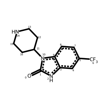 O=c1[nH]c2cc(C(F)(F)F)ccc2n1C1CCNCC1